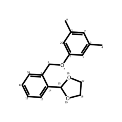 Cc1cc(C)cc(OCc2ccccc2C2OCCO2)c1